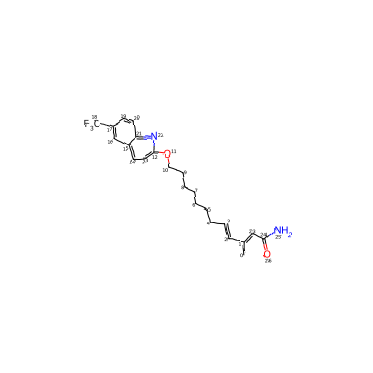 CC(C=CCCCCCCCOc1ccc2cc(C(F)(F)F)ccc2n1)=CC(N)=O